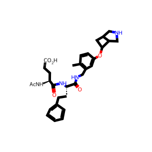 CC(=O)N[C@@H](CCC(=O)O)C(=O)N[C@@H](CCc1ccccc1)C(=O)NCc1cc(OC2CC3CNCC32)ccc1C